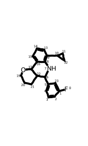 Fc1cccc(C2Nc3c(C4CC4)cccc3C3OCCCC23)c1